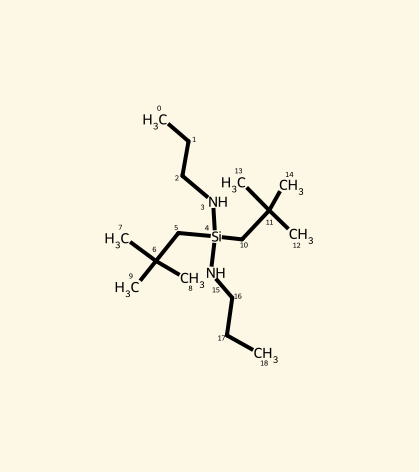 CCCN[Si](CC(C)(C)C)(CC(C)(C)C)NCCC